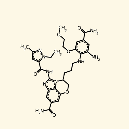 CCn1nc(C)cc1C(=O)Nc1nc2cc(C(N)=O)cc3c2n1[C@@H](CCCNc1c(N)cc(C(N)=O)cc1OCCOC)CO3